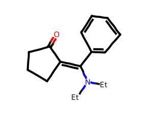 CCN(CC)C(=C1CCCC1=O)c1ccccc1